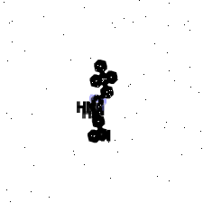 N=C\C=C/C(=C\C=N\Nc1ccc(-c2cncc3ccccc23)cc1)c1cccc(-c2c3ccccc3c(-c3ccccc3)c3ccccc23)c1